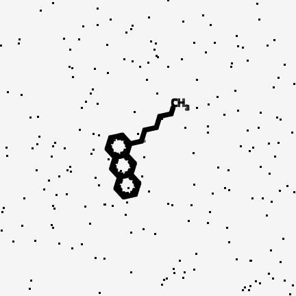 CCCCC[CH]c1cccc2cc3ccccc3cc12